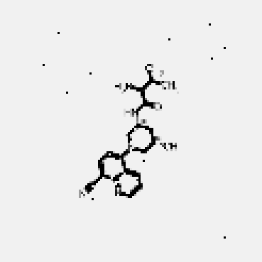 CC(C)C(N)C(=O)N[C@@H]1C[C@H](C)CN(c2ccc(C#N)c3ncccc23)C1